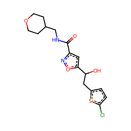 O=C(NCC1CCOCC1)c1cc(C(O)Cc2ccc(Cl)s2)on1